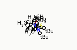 Cc1cc2c3c(c1)N(c1ccc(C(C)(C)C)cc1)c1c(sc4ccc(C(C)(C)C)cc14)B3c1cc(C(C)(C)C)ccc1N2c1cc2c(cc1-c1ccc([Si](C)(C)C)cc1)C(C)(C)CCC2(C)C